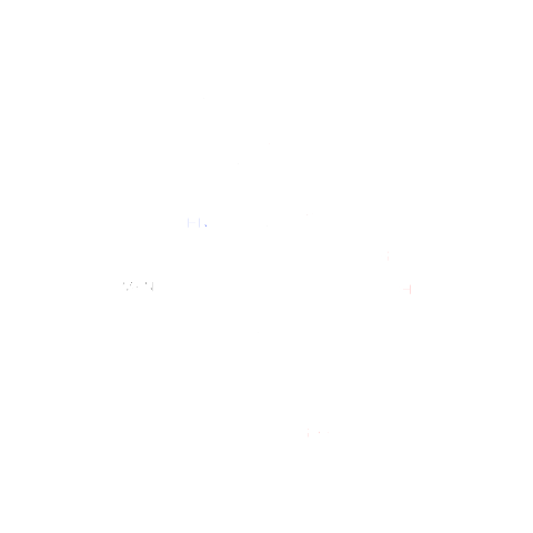 CCCOC(=O)c1[nH]c(CNC)c(-c2ccc(CO)c(CO)c2CO)c1Br